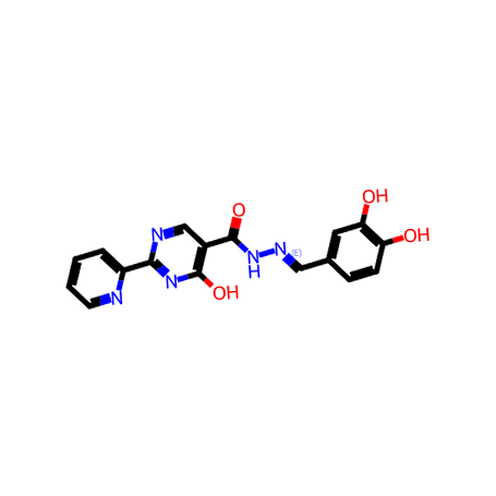 O=C(N/N=C/c1ccc(O)c(O)c1)c1cnc(-c2ccccn2)nc1O